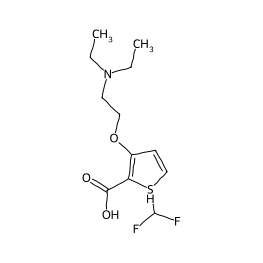 CCN(CC)CCOC1=C(C(=O)O)[SH](C(F)F)C=C1